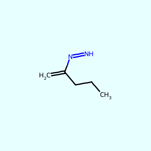 C=C(CCC)N=N